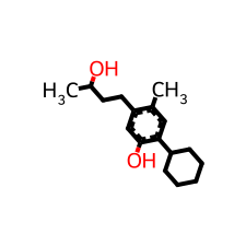 Cc1cc(C2CCCCC2)c(O)cc1CCC(C)O